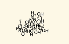 C[C@]12CC[C@@H]3c4ccc(O)cc4CC[C@H]3[C@@H]1CC[C@@H]2O.Nc1ncn([C@@H]2O[C@H](CO)[C@@H](O)[C@H]2O)c(=O)n1.O=C1Nc2ccc(Cl)cc2[C@@](C#CC2CC2)(C(F)(F)F)O1